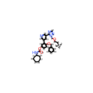 C[Si](C)(C)CCOCn1ncnc1-c1cncc(-c2cc(OC(=O)NC3CCCCCC3)ccc2OCc2ccccc2)c1